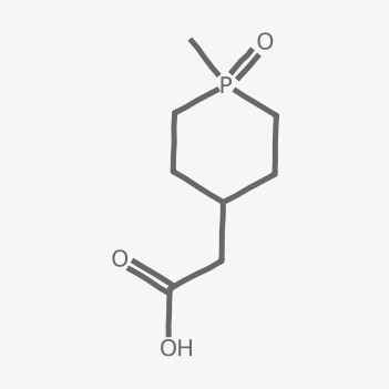 CP1(=O)CCC(CC(=O)O)CC1